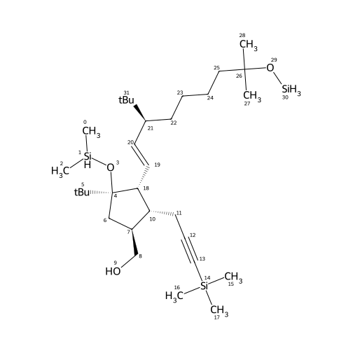 C[SiH](C)O[C@]1(C(C)(C)C)C[C@H](CO)[C@@H](CC#C[Si](C)(C)C)[C@H]1C=C[C@H](CCCCC(C)(C)O[SiH3])C(C)(C)C